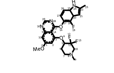 COc1cc(OC2CCN(C)CC2(F)F)c2c(OC3=C(F)C4C=C(C)NC4C=C3)ncnc2c1